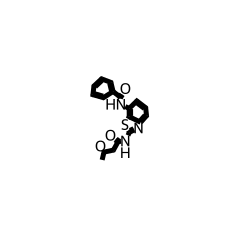 CC(=O)CC(=O)Nc1nc2cccc(NC(=O)c3ccccc3)c2s1